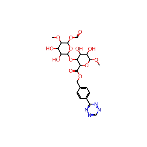 COC1OC(C(=O)OCc2ccc(-c3nncnn3)cc2)C(OC2OC(OC=O)C(OC)C(O)C2O)C(O)C1O